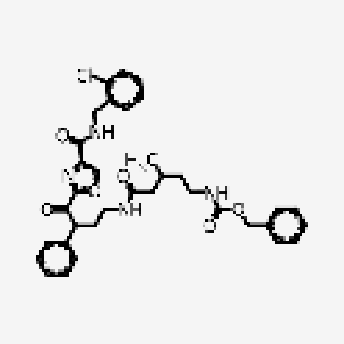 CC(CCNC(=O)OCc1ccccc1)CC(=O)NCCC(C(=O)c1nc(C(=O)NCc2ccccc2Cl)co1)c1ccccc1